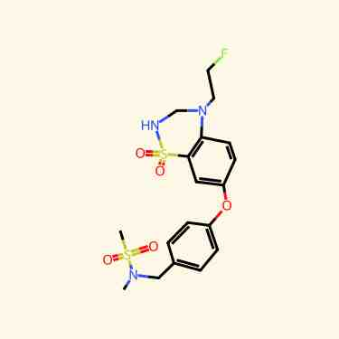 CN(Cc1ccc(Oc2ccc3c(c2)S(=O)(=O)NCN3CCF)cc1)S(C)(=O)=O